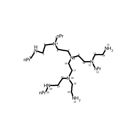 CCCNCCN(CCC)CCN(CCN(CCC)CCN)CCN(CCN)CCNCCC